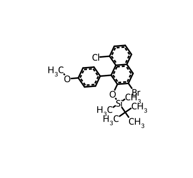 COc1ccc(-c2c(O[Si](C)(C)C(C)(C)C)c(Br)cc3cccc(Cl)c23)cc1